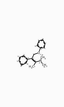 CC(=C(COc1ccccc1)c1ccccc1)N(C)C